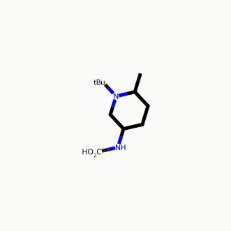 CC1CCC(NC(=O)O)CN1C(C)(C)C